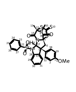 COc1ccc([C@]23C[C@@]45SC(=S)S[C@@](C)(C(=O)N4[C@H]2N(S(=O)(=O)c2ccccc2)c2ccccc23)N(C)C5=O)cc1